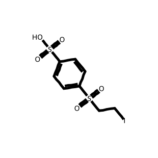 O=S(=O)(O)c1ccc(S(=O)(=O)CCI)cc1